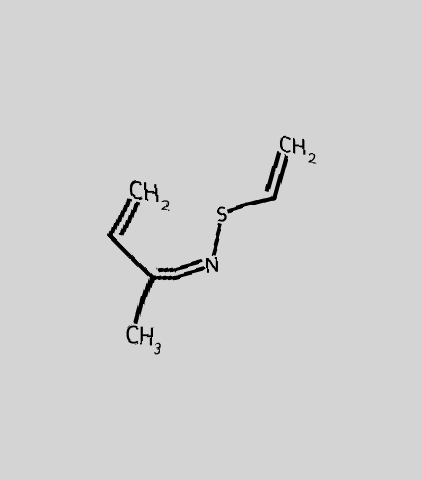 C=CS/N=C(/C)C=C